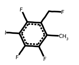 Cc1c(F)c(F)c(I)c(F)c1CF